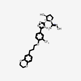 N/C(=N\O)N1CC[C@H](O)[C@H]1c1nc(-c2ccc(OCCCc3ccc4c(c3)OCCO4)c(C(F)(F)F)c2)no1